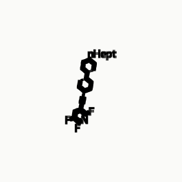 CCCCCCC[C@H]1CC[C@H]([C@H]2CC[C@H](C#Cc3cc(F)c(F)nc3F)CC2)CC1